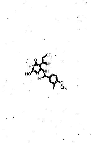 CC(C)C(Nc1nc(O)[nH]c(=O)c1C(=N)CC(F)(F)F)c1ccc(OC(F)(F)F)c(F)c1